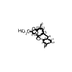 Cc1cc(Cc2ccc(F)cc2)c(=O)n2cc(C(=O)O)oc12